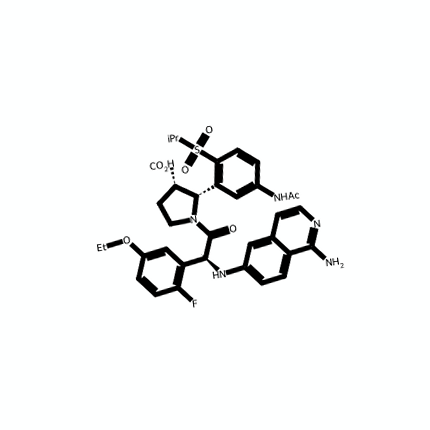 CCOc1ccc(F)c([C@H](Nc2ccc3c(N)nccc3c2)C(=O)N2CC[C@H](C(=O)O)[C@@H]2c2cc(NC(C)=O)ccc2S(=O)(=O)C(C)C)c1